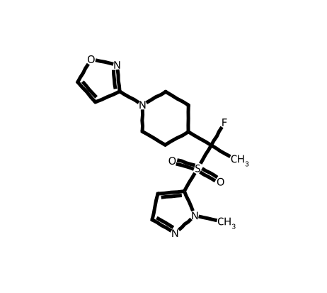 Cn1nccc1S(=O)(=O)C(C)(F)C1CCN(c2ccon2)CC1